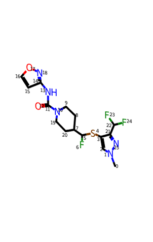 Cn1cc(SC(F)C2CCN(C(=O)Nc3ccon3)CC2)c(C(F)F)n1